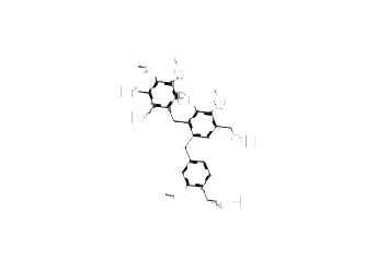 COc1cc(Cc2cc(CO)c(OC)c(Br)c2Cc2cc(OC)c(OC)c(Br)c2Br)ccc1CO